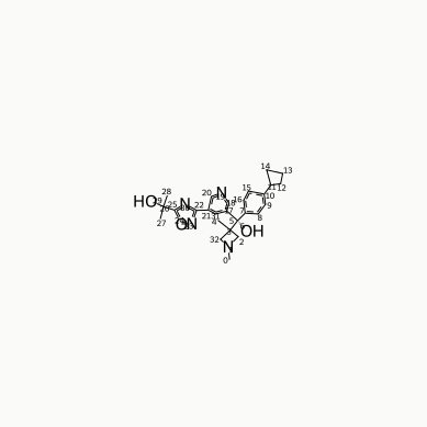 CN1CC(C)([C@](O)(c2ccc(C3CCC3)cc2)c2cncc(-c3noc(C(C)(C)O)n3)c2)C1